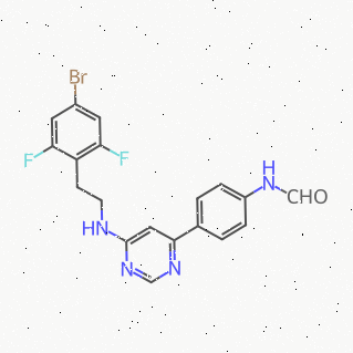 O=CNc1ccc(-c2cc(NCCc3c(F)cc(Br)cc3F)ncn2)cc1